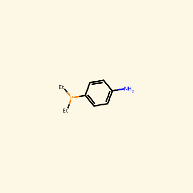 CCP(CC)c1ccc(N)cc1